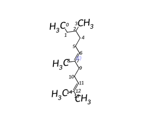 CCC(C)CC/C=C(\C)CCC=C(C)C